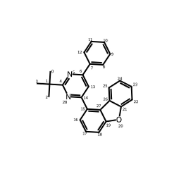 CC(C)(C)c1nc(-c2ccccc2)cc(-c2cccc3oc4ccccc4c23)n1